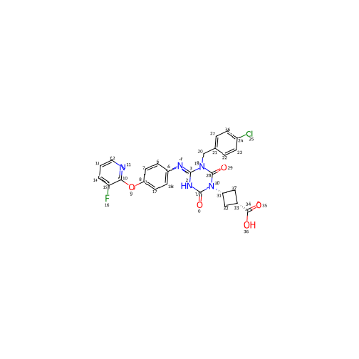 O=c1[nH]/c(=N\c2ccc(Oc3ncccc3F)cc2)n(Cc2ccc(Cl)cc2)c(=O)n1[C@H]1C[C@@H](C(=O)O)C1